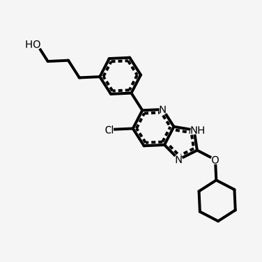 OCCCc1cccc(-c2nc3[nH]c(OC4CCCCC4)nc3cc2Cl)c1